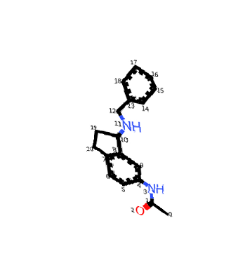 CC(=O)Nc1ccc2c(c1)C(NCc1ccccc1)CC2